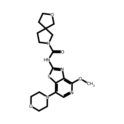 COc1ncc(N2CCOCC2)c2sc(NC(=O)N3CCC4(CCOC4)C3)nc12